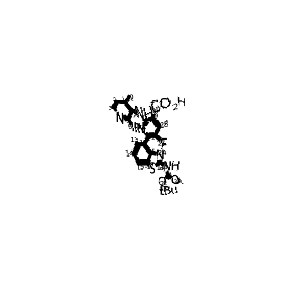 Cc1ccnc(C(C)C)c1Nc1nc(-c2cccc3sc(NC(=O)OC(C)(C)C)nc23)c(F)cc1C(=O)O